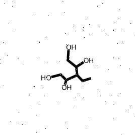 CCC(C(O)CO)C(O)CO